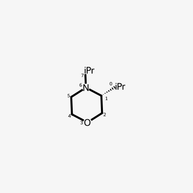 CC(C)[C@@H]1COCCN1C(C)C